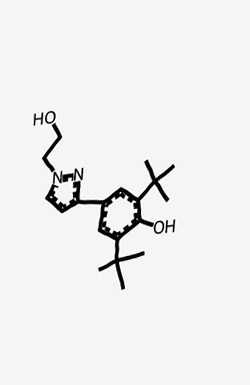 CC(C)(C)c1cc(-c2ccn(CCO)n2)cc(C(C)(C)C)c1O